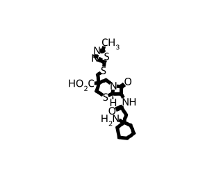 Cc1nnc(SCC2(C(=O)O)CS[C@@H]3C(NC(=O)CC4(N)CCCCC4)C(=O)N3C2)s1